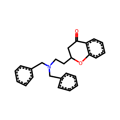 O=C1CC(CCN(Cc2ccccc2)Cc2ccccc2)Oc2ccccc21